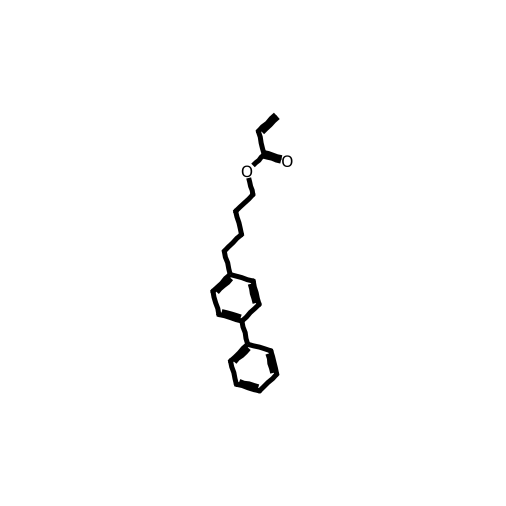 C=CC(=O)OCCCCc1ccc(-c2ccccc2)cc1